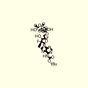 C#C[C@]1(F)[C@H](n2cnc3c(NC(=O)OC(C)(C)C)ncnc32)O[C@](F)(COP(=O)(O)OP(=O)(O)OP(=O)(O)O)[C@H]1O